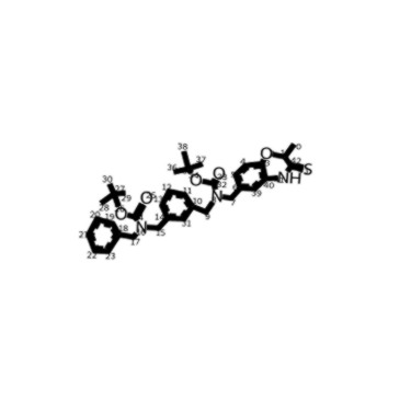 CC1Oc2ccc(CN(Cc3cccc(CN(Cc4ccccc4)C(=O)OC(C)(C)C)c3)C(=O)OC(C)(C)C)cc2NC1=S